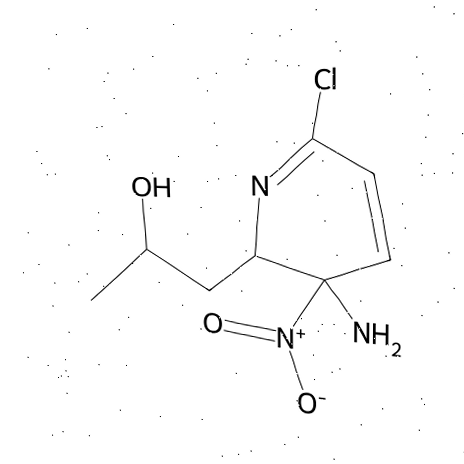 CC(O)CC1N=C(Cl)C=CC1(N)[N+](=O)[O-]